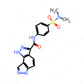 CN(C)S(=O)(=O)c1ccc(NC(=O)c2n[nH]c3c4c(ccc23)[N]N=C4)cc1